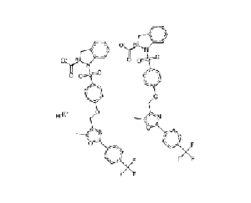 Cc1oc(-c2ccc(C(F)(F)F)cc2)nc1COc1ccc(S(=O)(=O)N2c3ccccc3C[C@@H]2C(=O)[O-])cc1.Cc1oc(-c2ccc(C(F)(F)F)cc2)nc1COc1ccc(S(=O)(=O)N2c3ccccc3C[C@@H]2C(=O)[O-])cc1.[H+].[K+]